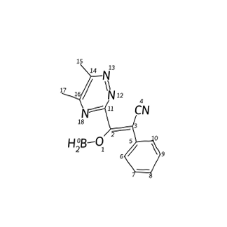 BOC(=C(C#N)c1ccccc1)c1nnc(C)c(C)n1